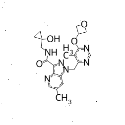 Cc1cnc2c(C(=O)NCC3(O)CC3)nn(Cc3ncnc(OC4COC4)c3C)c2c1